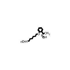 CCCCCCCCCCCCCCCCOc1ccccc1C(C)=NO